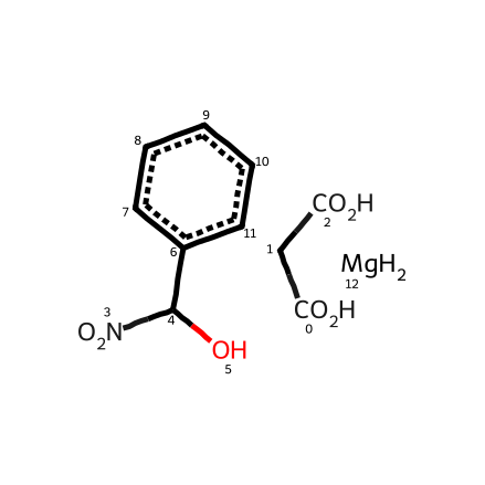 O=C(O)CC(=O)O.O=[N+]([O-])C(O)c1ccccc1.[MgH2]